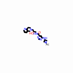 CC(=O)N1CC(Nc2cc(C(=O)NCC(O)CN3CCc4ncccc4C3)ncn2)C1